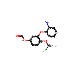 Nc1ccccc1Oc1cc(OC=O)ccc1OC(F)F